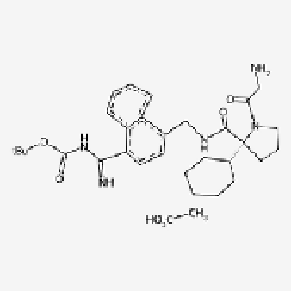 CC(=O)O.CC(C)(C)OC(=O)NC(=N)c1ccc(CNC(=O)[C@]2(C3CCCCC3)CCCN2C(=O)CN)c2ccccc12